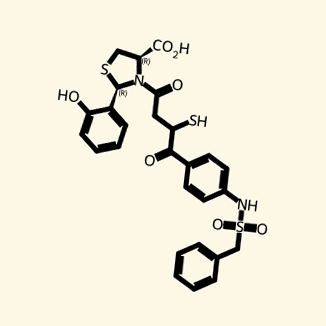 O=C(c1ccc(NS(=O)(=O)Cc2ccccc2)cc1)C(S)CC(=O)N1[C@@H](c2ccccc2O)SC[C@H]1C(=O)O